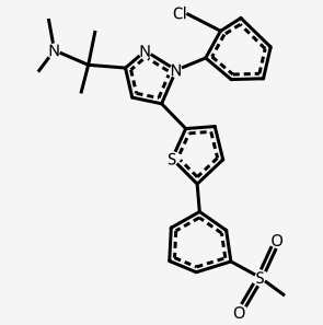 CN(C)C(C)(C)c1cc(-c2ccc(-c3cccc(S(C)(=O)=O)c3)s2)n(-c2ccccc2Cl)n1